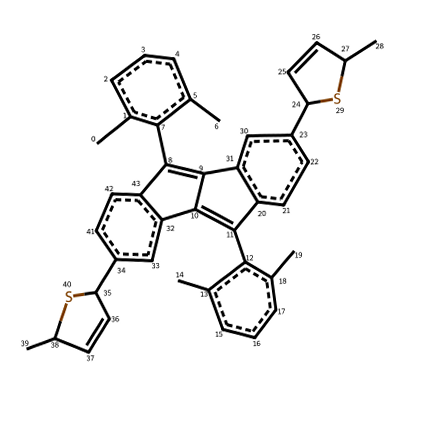 Cc1cccc(C)c1C1=C2C(=C(c3c(C)cccc3C)c3ccc(C4C=CC(C)S4)cc32)c2cc(C3C=CC(C)S3)ccc21